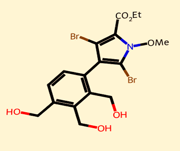 CCOC(=O)c1c(Br)c(-c2ccc(CO)c(CO)c2CO)c(Br)n1OC